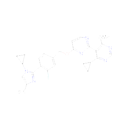 COc1ncnc(C2CC2)c1-c1nccc(OCc2ccc(-c3nc(C(F)(F)F)cn3C3CC3)c(F)c2)n1